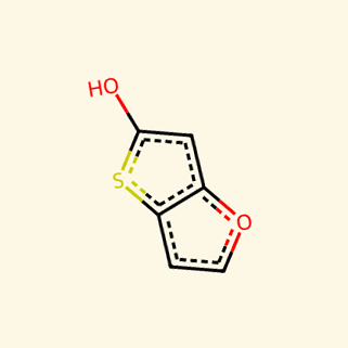 Oc1cc2occc2s1